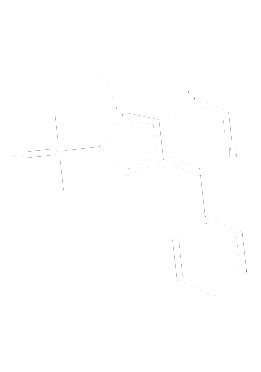 Cn1c(P(C)(C)=O)cc2c(-c3ccccc3)ncnc21